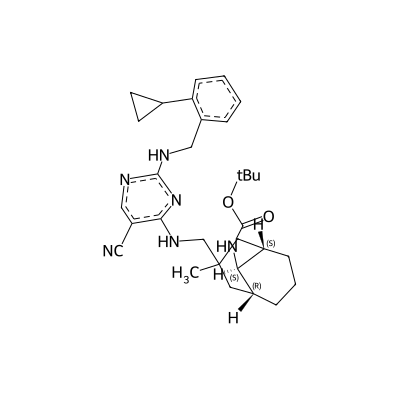 CC1(CNc2nc(NCc3ccccc3C3CC3)ncc2C#N)C[C@H]2CCC[C@@H](C1)[C@@H]2NC(=O)OC(C)(C)C